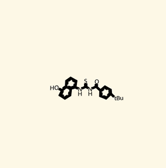 CC(C)(C)c1ccc(C(=O)NC(=S)Nc2cccc3c(O)cccc23)cc1